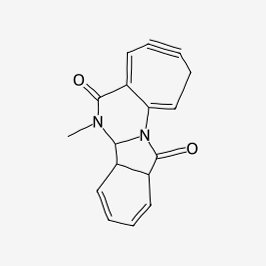 CN1C(=O)C2=CC#CCC=C2N2C(=O)C3C=CC=CC3C12